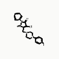 Cn1c(CN2CCN(c3ccc(F)cc3)CC2)c(Cl)c(=O)n1-c1ccccc1